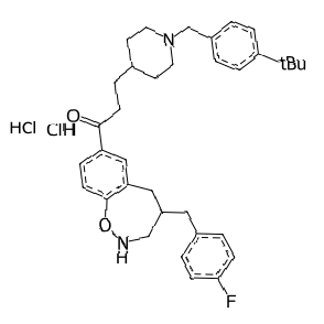 CC(C)(C)c1ccc(CN2CCC(CCC(=O)c3ccc4c(c3)CC(Cc3ccc(F)cc3)CNO4)CC2)cc1.Cl.Cl